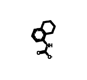 [O]C(=O)Nc1cccc2c1CCCC2